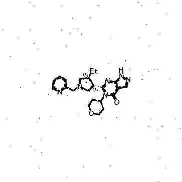 CC[C@@H]1CN(Cc2ccccn2)C[C@H]1c1nc2[nH]ncc2c(=O)n1C1CCOCC1